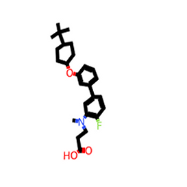 CN(CCC(=O)O)c1cc(-c2cccc(OC3CCC(C(C)(C)C)CC3)c2)ccc1F